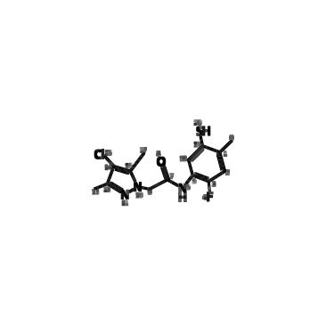 Cc1cc(F)c(NC(=O)Cn2nc(C)c(Cl)c2C)cc1S